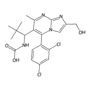 Cc1nc2nc(CO)cn2c(-c2ccc(Cl)cc2Cl)c1C(NC(=O)O)C(C)(C)C